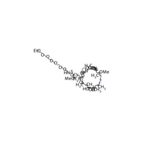 CCOCCOCCOCCOCCOCCOCCOCCNC(=S)O[C@@H]1CC[C@@H](C[C@@H](N)[C@@H]2CC(=O)[C@H](C)/C=C(\C)[C@@H](O)[C@@H](O)C(=O)[C@H](C)C[C@H](C)/C=C/C=C/C=C(\C)[C@@H](OC)C[C@@H]3CC[C@@H](C)[C@@](O)(O3)C(=O)C(=O)N3CCCC[C@H]3C(=O)O2)C[C@H]1OC